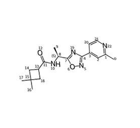 Cc1cc(-c2noc([C@H](C)NC(=O)C3CC(C)(C)C3)n2)ccn1